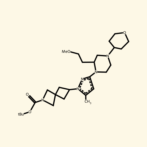 COCCC1CN(C2CCOCC2)CCN1c1cc(C)n(C2CC3(C2)CN(C(=O)OC(C)(C)C)C3)n1